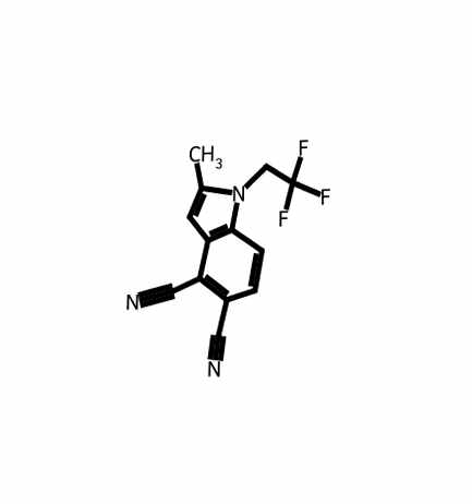 Cc1cc2c(C#N)c(C#N)ccc2n1CC(F)(F)F